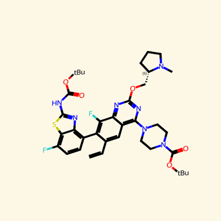 C=Cc1cc2c(N3CCN(C(=O)OC(C)(C)C)CC3)nc(OC[C@@H]3CCCN3C)nc2c(F)c1-c1ccc(F)c2sc(NC(=O)OC(C)(C)C)nc12